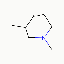 CC1[CH]CCN(C)C1